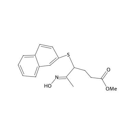 COC(=O)CCC(Sc1ccc2ccccc2c1)C(C)=NO